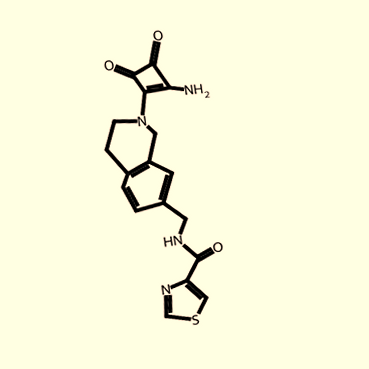 Nc1c(N2CCc3ccc(CNC(=O)c4cscn4)cc3C2)c(=O)c1=O